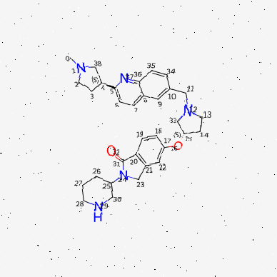 CN1CC[C@H](c2ccc3cc(CN4CC[C@H](Oc5ccc6c(c5)CN(C5CCCNC5)C6=O)C4)ccc3n2)C1